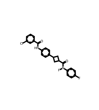 O=C(Nc1ccc(C2CC(C(=O)N(F)c3ccc(F)cc3)C2)cc1)c1cccc(Cl)c1